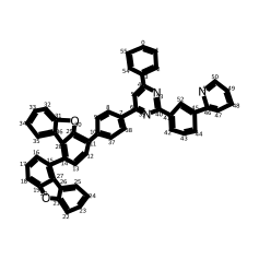 c1ccc(-c2cc(-c3ccc(-c4ccc(-c5cccc6oc7ccccc7c56)c5c4oc4ccccc45)cc3)nc(-c3cccc(-c4ccccn4)c3)n2)cc1